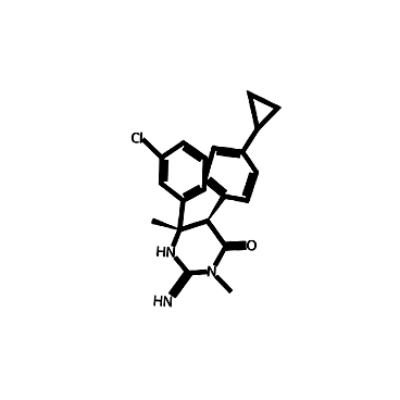 CN1C(=N)N[C@](C)(c2cccc(Cl)c2)[C@@H](c2ccc(C3CC3)cc2)C1=O